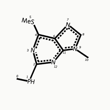 CPc1nc(SC)c2ncn(C)c2n1